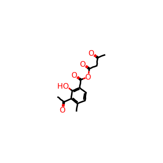 CC(=O)CC(=O)OC(=O)c1ccc(C)c(C(C)=O)c1O